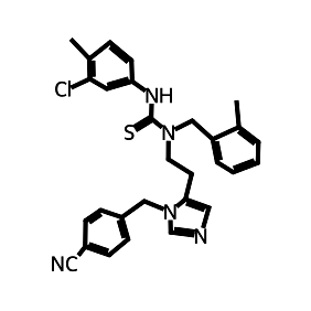 Cc1ccc(NC(=S)N(CCc2cncn2Cc2ccc(C#N)cc2)Cc2ccccc2C)cc1Cl